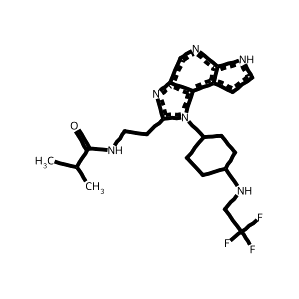 CC(C)C(=O)NCCc1nc2cnc3[nH]ccc3c2n1C1CCC(NCC(F)(F)F)CC1